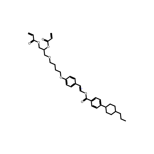 C=CC(=O)OCC(COCCCCOc1ccc(/C=C/OC(=O)c2ccc(C3CCC(CCC)CC3)cc2)cc1)OC(=O)C=C